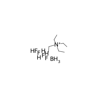 B.CC[N+](CC)(CC)CC.F.F.F.F